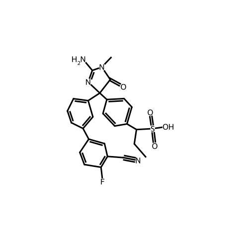 CCC(c1ccc(C2(c3cccc(-c4ccc(F)c(C#N)c4)c3)N=C(N)N(C)C2=O)cc1)S(=O)(=O)O